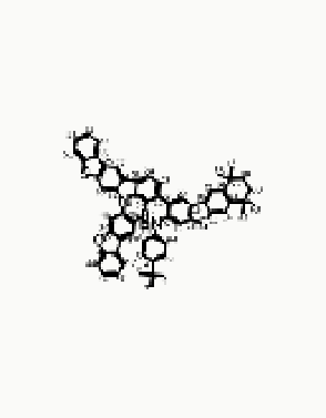 CC(C)(C)c1ccc(Nc2cc3sc4cc5c(cc4c3cc2-c2ccc3c4cc6c(cc4n4c3c2Bc2cc3c(cc2-4)oc2ccccc23)sc2ccccc26)C(C)(C)CCC5(C)C)cc1